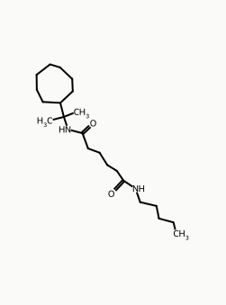 CCCCCNC(=O)CCCCC(=O)NC(C)(C)C1CCCCCCC1